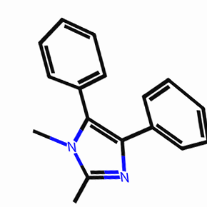 Cc1nc(-c2ccccc2)c(-c2ccccc2)n1C